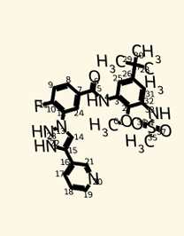 COc1c(NC(=O)c2ccc(F)c(N3C=C(c4cccnc4)NN3)c2)cc(C(C)(C)C)cc1NS(C)(=O)=O